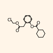 O=C(Cc1ccccc1OC(=O)C1CCCCC1)OCCl